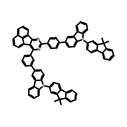 CC1(C)c2ccccc2-c2ccc(-n3c4ccccc4c4cc(-c5ccc(-c6nc(-c7cccc(-c8ccc9c(c8)c8ccccc8n9-c8ccc9c(c8)C(C)(C)c8ccccc8-9)c7)c7c(n6)-c6cccc8cccc-7c68)cc5)ccc43)cc21